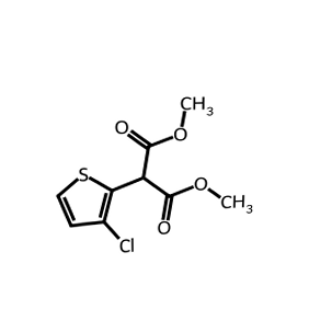 COC(=O)C(C(=O)OC)c1sccc1Cl